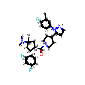 Cc1cc(-n2nccc2C2CCN(C(=O)[C@@H]3C[C@@](C)(N(C)C)C[C@H]3c3ccc(F)cc3F)CC2)ccc1F